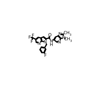 Cc1nc2cc(NC(=O)c3cc4cc(C(F)(F)F)cnc4n3Cc3cccc(F)c3)cnc2n1C